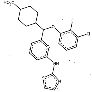 O=C(O)C1CCC(C(Oc2cccc(Cl)c2F)c2cccc(Nc3nccs3)n2)CC1